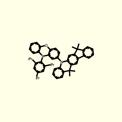 CC(C)c1cc(C(C)C)c(B2c3ccccc3Oc3ccc(N4c5ccccc5C(C)(C)c5cc6c(cc54)C(C)(C)c4ccccc4-6)cc32)c(C(C)C)c1